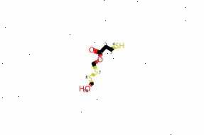 O=C(CCS)OCSSCO